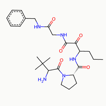 CCCC(NC(=O)[C@@H]1CCCN1C(=O)C(N)C(C)(C)C)C(=O)C(=O)NCC(=O)NCc1ccccc1